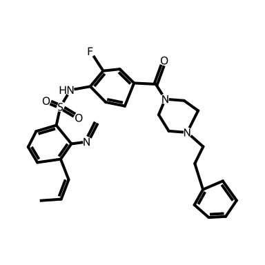 C=Nc1c(/C=C\C)cccc1S(=O)(=O)Nc1ccc(C(=O)N2CCN(CCc3ccccc3)CC2)cc1F